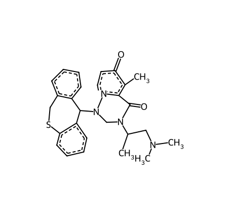 Cc1c2n(ccc1=O)N(C1c3ccccc3CSc3ccccc31)CN(C(C)CN(C)C)C2=O